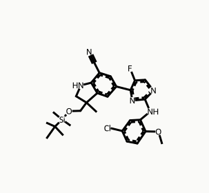 COc1ccc(Cl)cc1Nc1ncc(F)c(-c2cc(C#N)c3c(c2)C(C)(CO[Si](C)(C)C(C)(C)C)CN3)n1